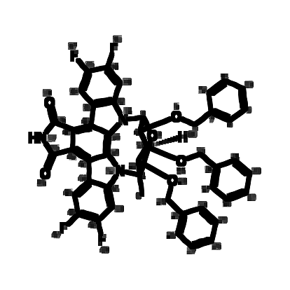 CC12OC(C(OCc3ccccc3)[C@@H](OCc3ccccc3)C1OCc1ccccc1)n1c3cc(F)c(F)cc3c3c4c(c5c6cc(F)c(F)cc6n2c5c31)C(=O)NC4=O